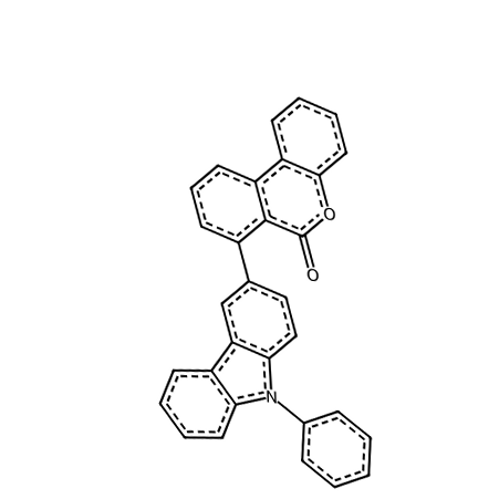 O=c1oc2ccccc2c2cccc(-c3ccc4c(c3)c3ccccc3n4-c3ccccc3)c12